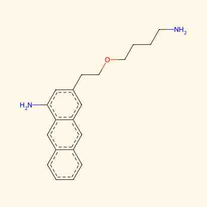 NCCCCOCCc1cc(N)c2cc3ccccc3cc2c1